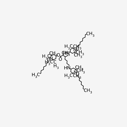 CCCCCCCCON1C(C)(C)CC(NCCCCC(CNC2CC(C)(C)N(OCCCCCCCC)C(C)(C)C2)C(C)C(=O)OC2CC(C)(C)N(OCCCCCCCC)C(C)(C)C2)CC1(C)C